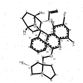 C=CC[C@H]1[C@H]2CC[C@@H](CN1c1nc(OC[C@@]34CCCN3C[C@H](F)C4)nc3c(F)cc(F)c(Br)c13)N2Cc1ccccc1